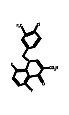 O=C(O)c1cn(Cc2ccc(Cl)c(C(F)(F)F)c2)c2c(F)ccc(F)c2c1=O